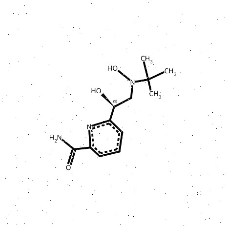 CC(C)(C)N(O)C[C@H](O)c1cccc(C(N)=O)n1